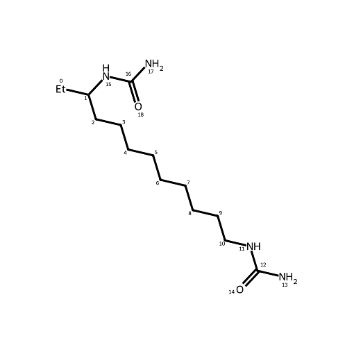 CCC(CCCCCCCCCNC(N)=O)NC(N)=O